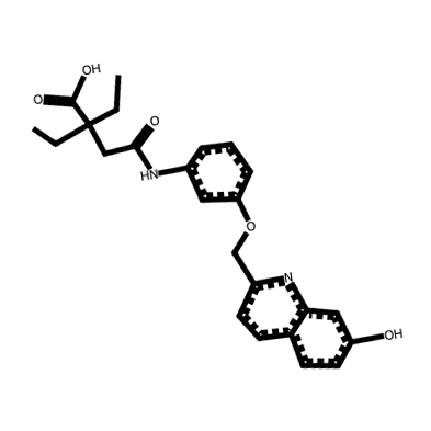 CCC(CC)(CC(=O)Nc1cccc(OCc2ccc3ccc(O)cc3n2)c1)C(=O)O